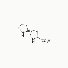 B1CCON1.O=C(O)C1CCCN1